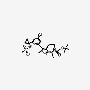 CC1c2nn(C)c(-c3cc(Cl)cc(C4(NS(C)(=O)=O)CC4)c3)c2CCN1C(=O)OC(C)(C)C